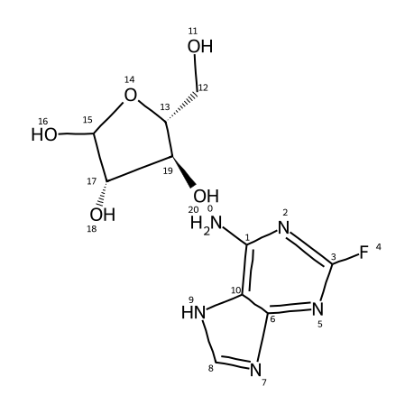 Nc1nc(F)nc2nc[nH]c12.OC[C@H]1OC(O)[C@@H](O)[C@@H]1O